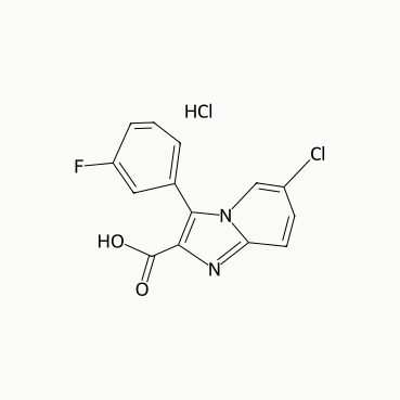 Cl.O=C(O)c1nc2ccc(Cl)cn2c1-c1cccc(F)c1